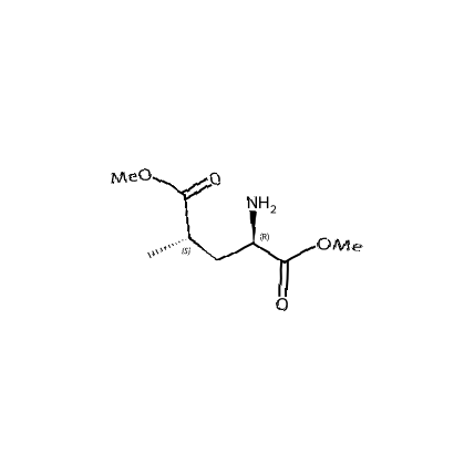 COC(=O)[C@H](N)C[C@H](C)C(=O)OC